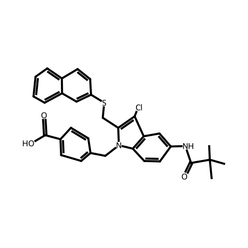 CC(C)(C)C(=O)Nc1ccc2c(c1)c(Cl)c(CSc1ccc3ccccc3c1)n2Cc1ccc(C(=O)O)cc1